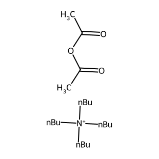 CC(=O)OC(C)=O.CCCC[N+](CCCC)(CCCC)CCCC